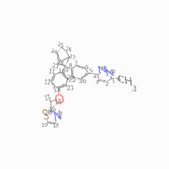 Cc1ccc(-c2ccc(C3(c4ccc(OCc5nccs5)cc4)CC4CCC3C4)cc2)nn1